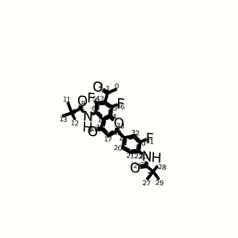 CC(=O)c1c(F)c(NC(=O)C(C)(C)C)c2c(=O)cc(-c3ccc(NC(=O)C(C)(C)C)c(F)c3)oc2c1F